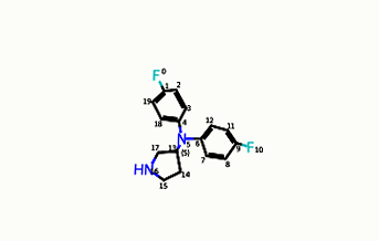 Fc1ccc(N(c2ccc(F)cc2)[C@H]2CCNC2)cc1